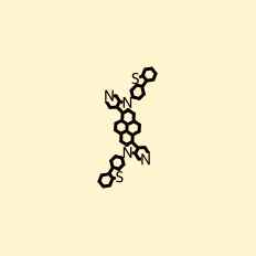 c1ccc2c(c1)sc1cc(-n3c4cnccc4c4c5ccc6cc7c(c8ccc(cc43)c5c68)c3ccncc3n7-c3ccc4c(c3)sc3ccccc34)ccc12